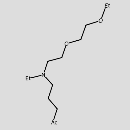 CCOCCOCCN(CC)CCCC(C)=O